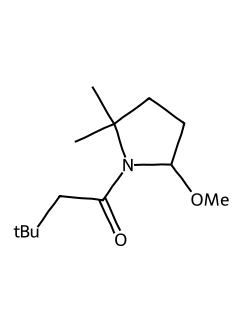 COC1CCC(C)(C)N1C(=O)CC(C)(C)C